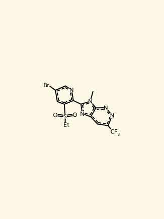 CCS(=O)(=O)c1cc(Br)cnc1-c1nc2cc(C(F)(F)F)nnc2n1C